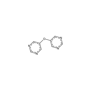 c1ncc(Oc2cncnc2)cn1